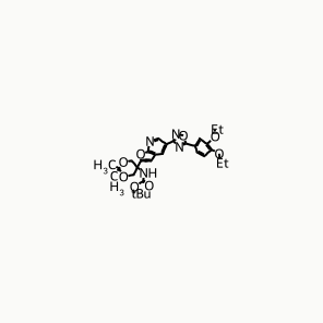 CCOc1ccc(-c2nc(-c3cnc4oc(C5(NC(=O)OC(C)(C)C)COC(C)(C)OC5)cc4c3)no2)cc1OCC